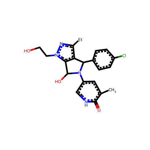 CCc1nn(CCO)c2c1C(c1ccc(Cl)cc1)N(c1c[nH]c(=O)c(C)c1)C2O